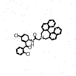 O=C(CN1Cc2ccc3ccccc3c2-c2c(ccc3ccccc23)C1)NC1CC=C(Cl)C=C1C(=O)c1ccccc1Cl